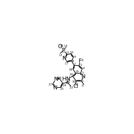 Cc1nc2cc(F)c(-c3ccc(P(C)(C)=O)nc3)cc2c(N[C@@H](C)c2cncnc2)c1Cl